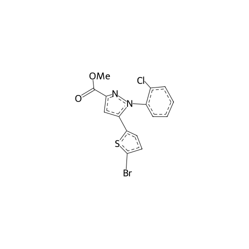 COC(=O)c1cc(-c2ccc(Br)s2)n(-c2ccccc2Cl)n1